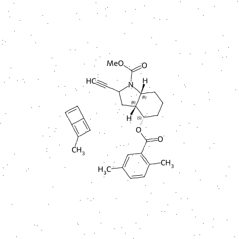 C#CC1C[C@H]2[C@@H](OC(=O)c3cc(C)ccc3C)CCC[C@H]2N1C(=O)OC.Cc1cc2ccc1-2